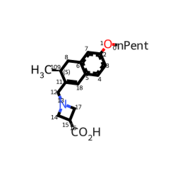 CCCCCOc1ccc2c(c1)C[C@H](C)C(CN1CC(C(=O)O)C1)=C2